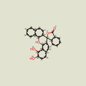 O=C1OC2(c3ccccc31)c1ccc3ccccc3c1Oc1c2ccc2ccc(O)c(O)c12